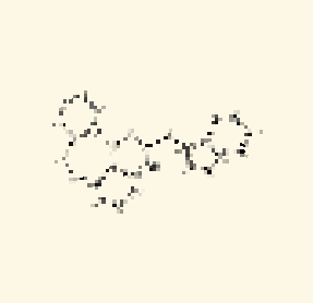 OC(CN1c2ccccc2CCc2ccccc21)Cn1ccc2ccccc21